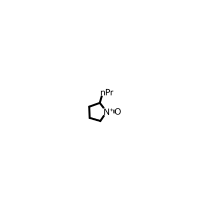 [CH2]CCC1CCC[N+]1=O